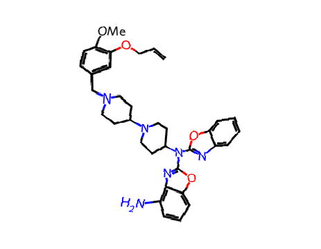 C=CCOc1cc(CN2CCC(N3CCC(N(c4nc5ccccc5o4)c4nc5c(N)cccc5o4)CC3)CC2)ccc1OC